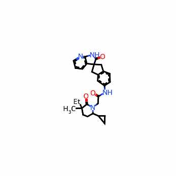 CCC1(C)CCC(C2CC2)N(CC(=O)Nc2ccc3c(c2)CC2(C3)C(=O)Nc3ncccc32)C1=O